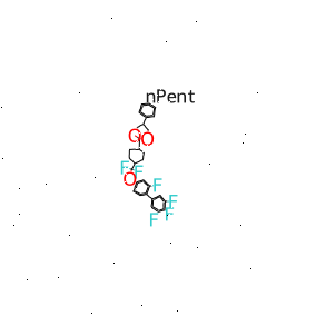 CCCCCc1ccc(C2COC(C3CCC(C(F)(F)Oc4ccc(-c5cc(F)c(F)c(F)c5)c(F)c4)CC3)OC2)cc1